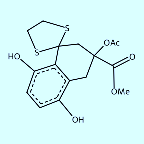 COC(=O)C1(OC(C)=O)Cc2c(O)ccc(O)c2C2(C1)SCCS2